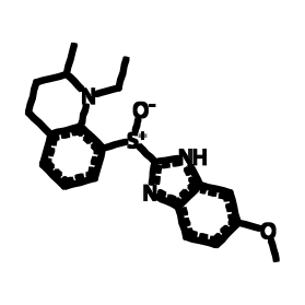 CCN1c2c(cccc2[S+]([O-])c2nc3ccc(OC)cc3[nH]2)CCC1C